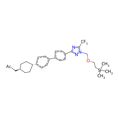 CC(=O)C[C@H]1CC[C@H](c2ccc(-c3ccc(-c4nc(C(F)(F)F)n(COCC[Si](C)(C)C)n4)cc3)cc2)CC1